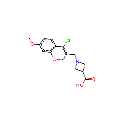 COc1ccc2c(c1)OCC(CN1CC(C(=O)O)C1)=C2Cl